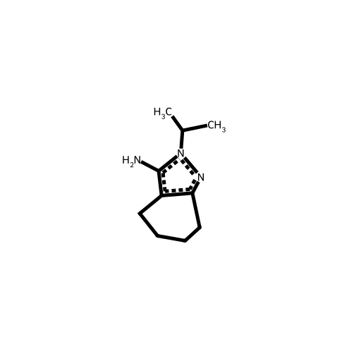 CC(C)n1nc2c(c1N)CCCC2